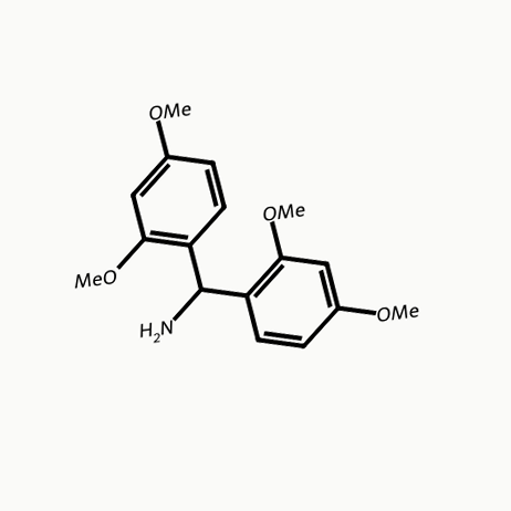 COc1ccc(C(N)c2ccc(OC)cc2OC)c(OC)c1